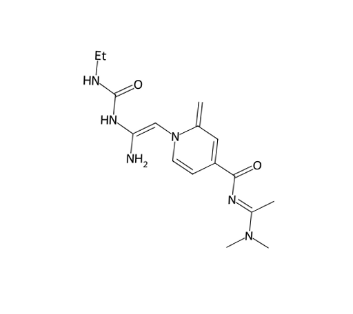 C=C1C=C(C(=O)/N=C(\C)N(C)C)C=CN1/C=C(\N)NC(=O)NCC